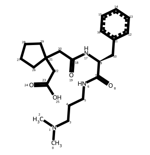 CN(C)CCCNC(=O)[C@H](Cc1ccccc1)NC(=O)CC1(CC(=O)O)CCCC1